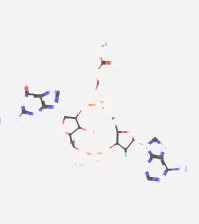 COP1(=O)OC[C@H]2O[C@@H](n3cnc4c(=O)[nH]c(N)nc43)C(OP(=O)(OCOC(=O)OC(C)C)OCC3O[C@@H](n4cnc5c(N)ncnc54)C(F)C3O1)C2O